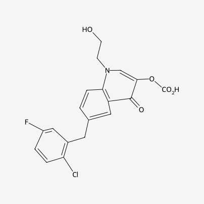 O=C(O)Oc1cn(CCO)c2ccc(Cc3cc(F)ccc3Cl)cc2c1=O